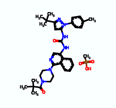 CS(=O)(=O)O.Cc1ccc(-n2nc(C(C)(C)C)cc2NC(=O)Nc2cnc(N3CCN(C(=O)C(C)(C)C)CC3)c3ccccc23)cc1